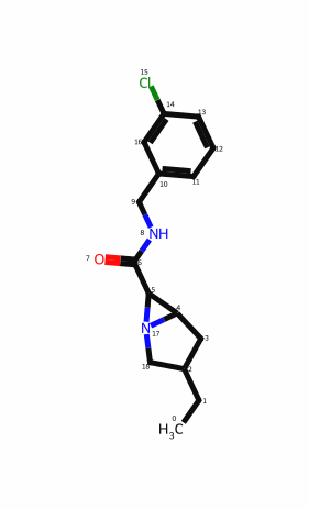 CCC1CC2C(C(=O)NCc3cccc(Cl)c3)N2C1